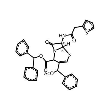 CC(=O)OC(C1=CS[C@H]2[C@H](NC(=O)Cc3cccs3)C(=O)N2C1C(=O)OC(c1ccccc1)c1ccccc1)c1ccccc1